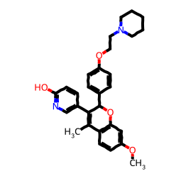 COc1ccc2c(c1)OC(c1ccc(OCCN3CCCCC3)cc1)C(c1ccc(O)nc1)=C2C